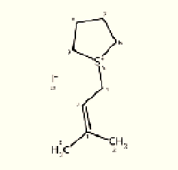 CC(C)=CC[S+]1CCCC1.[I-]